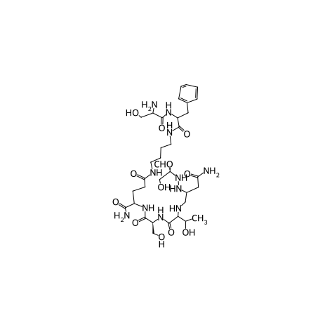 CC(O)C(NCC(CC(N)=O)NN[C@H](C=O)CO)C(=O)N[C@@H](CO)C(=O)NC(CCC(=O)NCCCCNC(=O)C(Cc1ccccc1)NC(=O)C(N)CO)C(N)=O